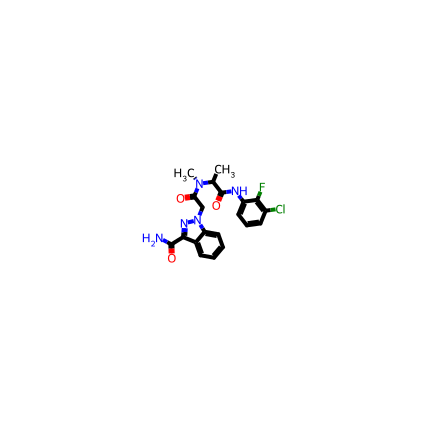 CC(C(=O)Nc1cccc(Cl)c1F)N(C)C(=O)Cn1nc(C(N)=O)c2ccccc21